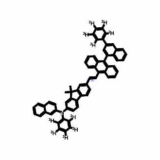 [2H]c1c([2H])c([2H])c(-c2cc(-c3c4ccccc4c(/C=C/c4ccc5c(c4)C(C)(C)c4cc(N(c6ccc7ccccc7c6)c6c([2H])c([2H])c([2H])c([2H])c6[2H])ccc4-5)c4ccccc34)c3ccccc3c2)c([2H])c1[2H]